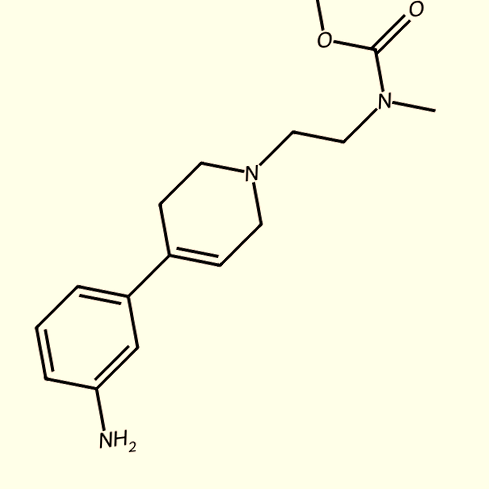 CN(CCN1CC=C(c2cccc(N)c2)CC1)C(=O)OC(C)(C)C